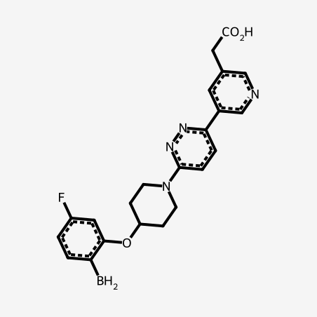 Bc1ccc(F)cc1OC1CCN(c2ccc(-c3cncc(CC(=O)O)c3)nn2)CC1